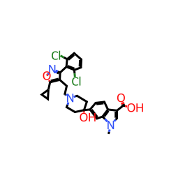 Cn1cc(C(=O)O)c2ccc(C3(O)CCN(CCc4c(-c5c(Cl)cccc5Cl)noc4C4CC4)CC3)cc21